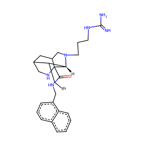 CC(C)CC1C2CNC3(C(=O)NCc4cccc5ccccc45)C(C2)CN(CCCNC(=N)N)[C@@H]13